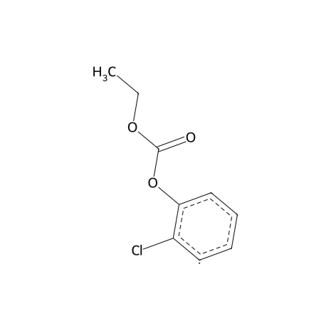 CCOC(=O)Oc1ccc[c]c1Cl